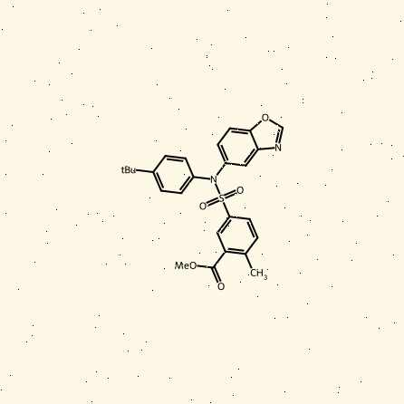 COC(=O)c1cc(S(=O)(=O)N(c2ccc(C(C)(C)C)cc2)c2ccc3ocnc3c2)ccc1C